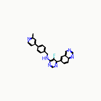 Cc1cc(-c2ccc(CNc3ncnc(-c4ccc5ncncc5c4)c3F)cc2)ccn1